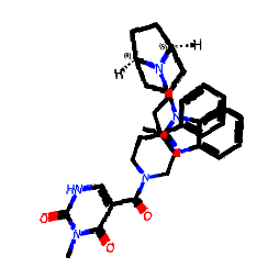 Cc1nc2ccccc2n1C1C[C@H]2CC[C@@H](C1)N2CCC1(c2ccccc2)CCN(C(=O)c2c[nH]c(=O)n(C)c2=O)CC1